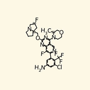 C[C@H]1COCCN1c1nc(OC[C@@]23CCCN2C[C@H](F)C3)nc2c(F)c(-c3cc(N)cc(Cl)c3C(F)(F)F)ncc12